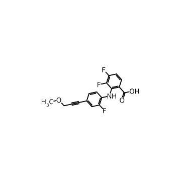 COCC#Cc1ccc(Nc2c(C(=O)O)ccc(F)c2F)c(F)c1